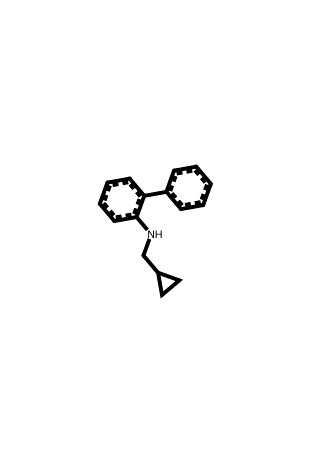 c1ccc(-c2ccccc2NCC2CC2)cc1